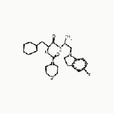 C[C@@H](CN1CCc2cc(F)ccc21)NC(=O)C(CC1CCCCC1)OC(=O)N1CCOCC1